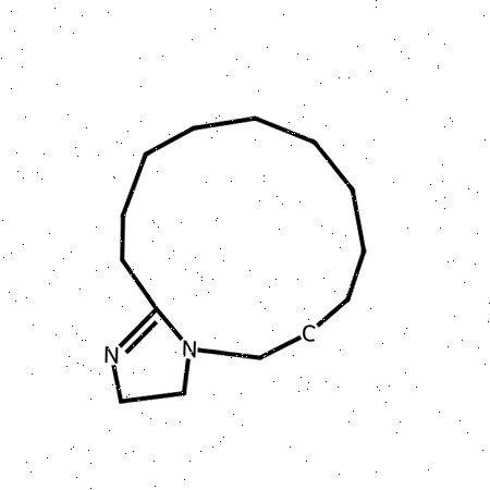 C1CCCCCC2=NCCN2CCCCC1